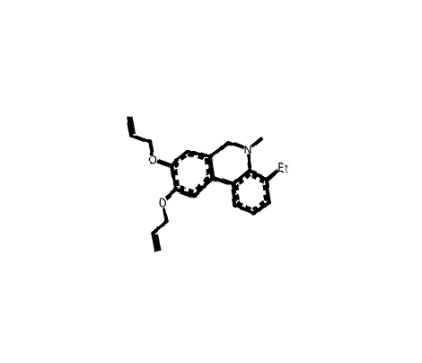 C=CCOc1cc2c(cc1OCC=C)-c1cccc(CC)c1N(C)C2